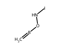 C=BONI